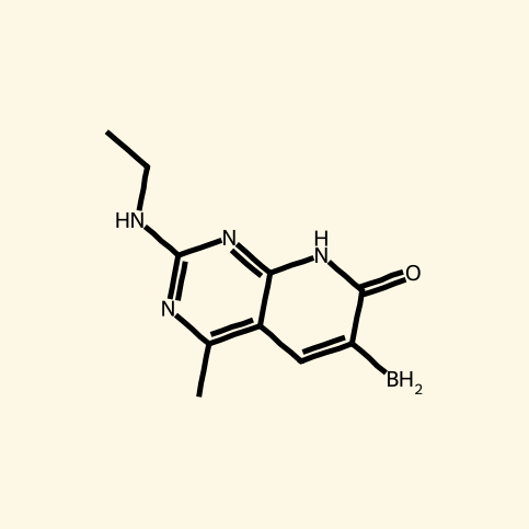 Bc1cc2c(C)nc(NCC)nc2[nH]c1=O